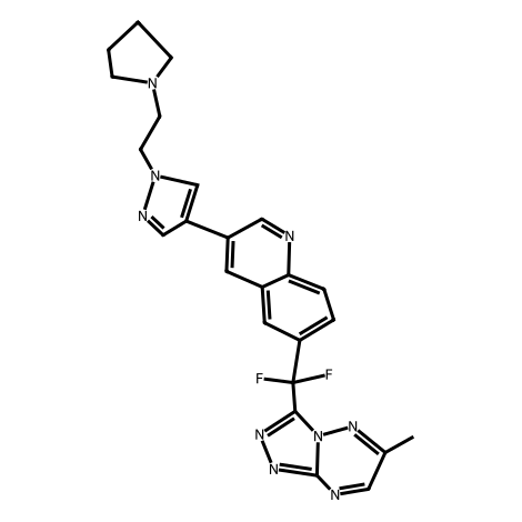 Cc1cnc2nnc(C(F)(F)c3ccc4ncc(-c5cnn(CCN6CCCC6)c5)cc4c3)n2n1